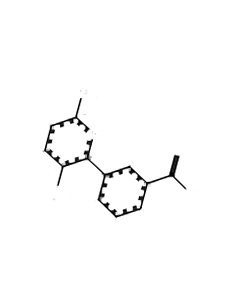 C=C(CCC)c1cccc(-c2nc(N)ccc2C)c1